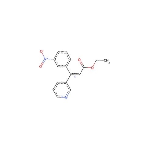 CCOC(=O)/C=C(/c1cccnc1)c1cccc([N+](=O)[O-])c1